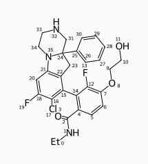 CCNC(=O)c1ccc(OCCO)c(F)c1-c1c(Cl)c(F)cc2c1CC1(c3ccccc3)CNCCN21